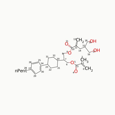 C=C(C)C(=O)OCC(COC(=O)C(=C)CC(CO)CO)C1CCC(c2ccc(CCCCC)cc2)CC1